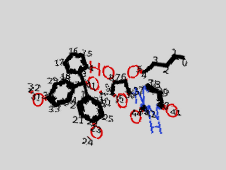 CCCCCO[C@@H]1[C@H](O)[C@@H](COC(c2ccccc2)(c2ccc(OC)cc2)c2ccc(OC)cc2)O[C@H]1n1ccc(=O)[nH]c1=O